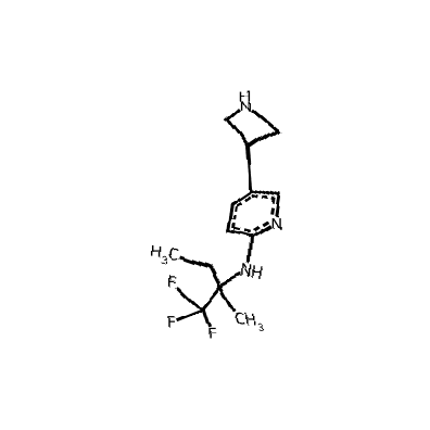 CCC(C)(Nc1ccc(C2CNC2)cn1)C(F)(F)F